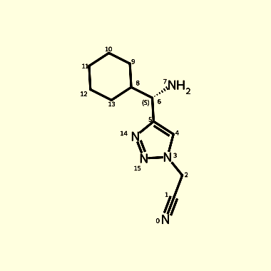 N#CCn1cc([C@@H](N)C2CCCCC2)nn1